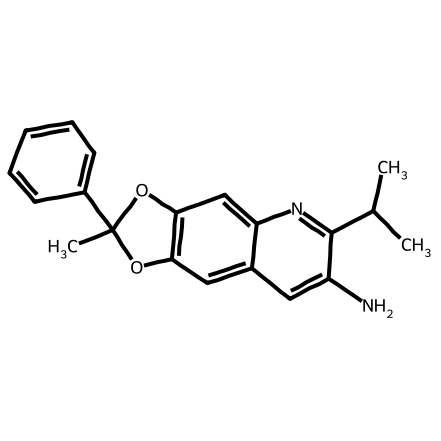 CC(C)c1nc2cc3c(cc2cc1N)OC(C)(c1ccccc1)O3